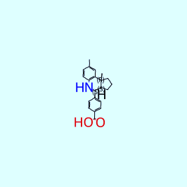 Cc1ccc2c(c1)[C@]1(C)CCC[C@@H]1[C@@H](c1ccc(C(=O)O)cc1)N2